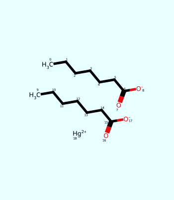 CCCCCCC(=O)[O-].CCCCCCC(=O)[O-].[Hg+2]